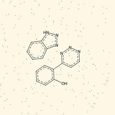 Oc1ccccc1-c1ccnnn1.c1ccc2[nH]nnc2c1